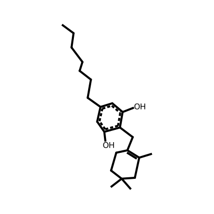 CCCCCCCc1cc(O)c(CC2=C(C)CC(C)(C)CC2)c(O)c1